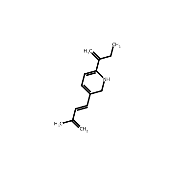 C=C(C)/C=C/C1=CC=C(C(=C)CC)NC1